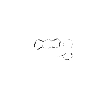 C1CNCCN1.Oc1ccccc1.c1ccc2c(c1)Cc1ccccc1O2